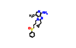 Cc1cnc(N)c2nc(CC3CC3)n(CCCC[S+]([O-])c3ccccc3)c12